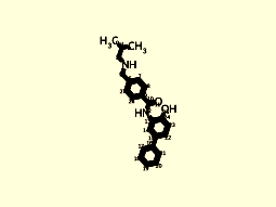 CC(C)CNCc1ccc(C(=O)Nc2cc(-c3ccccc3)ccc2O)cc1